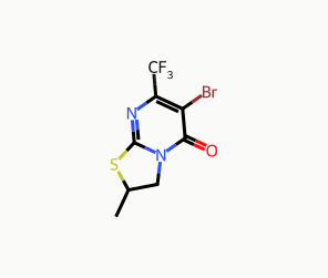 CC1Cn2c(nc(C(F)(F)F)c(Br)c2=O)S1